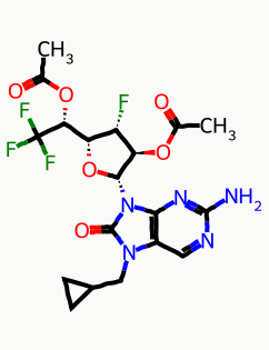 CC(=O)O[C@@H]1[C@@H](F)[C@@H]([C@@H](OC(C)=O)C(F)(F)F)O[C@H]1n1c(=O)n(CC2CC2)c2cnc(N)nc21